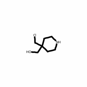 OCC1(CCl)CCNCC1